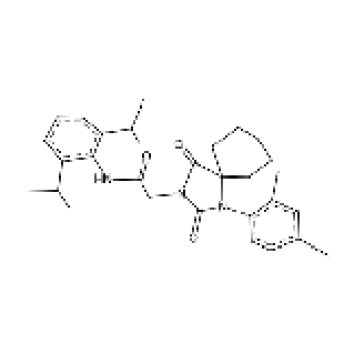 Cc1ccc(N2C(=O)N(CC(=O)Nc3c(C(C)C)cccc3C(C)C)C(=O)C23CCCCC3)c(C)c1